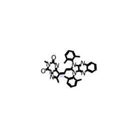 Cc1cccc(C)c1N1C(=C/C=c2/c(C)nn3c(=O)n(C)c(=O)nc23)N(c2c(C)cccc2C)c2nc3ccccc3nc21